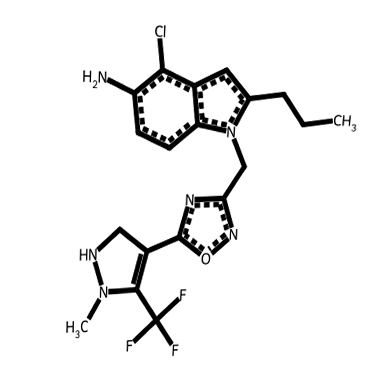 CCCc1cc2c(Cl)c(N)ccc2n1Cc1noc(C2=C(C(F)(F)F)N(C)NC2)n1